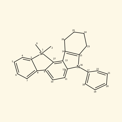 C[Si]1(C)c2ccccc2-c2ccc3c(c4c(n3-c3ccccc3)CCCC4)c21